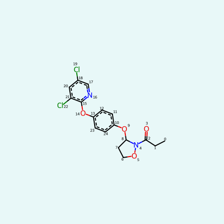 CCC(=O)N1OCCC1Oc1ccc(Oc2ncc(Cl)cc2Cl)cc1